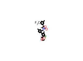 Cc1cc([C@H]2OC(=O)N(Cc3cc(C)ccc3-c3cc(C4(C)OCCO4)c(F)cc3C)[C@H]2C)cc(C(F)(F)F)c1